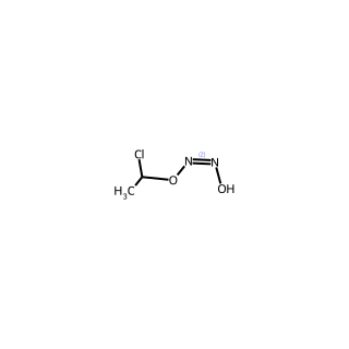 CC(Cl)O/N=N\O